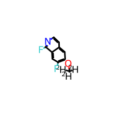 [2H]C([2H])([2H])Oc1cc2ccnc(F)c2cc1F